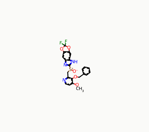 COc1ccnc(C[S+]([O-])c2nc3cc4c(cc3[nH]2)OC(F)(F)O4)c1OCc1ccccc1